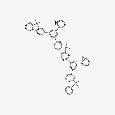 CC1(C)c2ccccc2-c2ccc(-c3cc(-c4ccc5c(c4)C(C)(C)c4cc(-c6cc(-c7ccc8c(c7)C(C)(C)c7ccccc7-8)cc(-c7ccccn7)c6)ccc4-5)cc(-c4ccccn4)c3)cc21